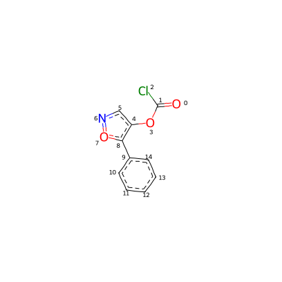 O=C(Cl)Oc1cnoc1-c1ccccc1